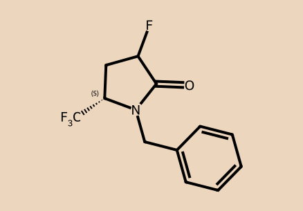 O=C1C(F)C[C@@H](C(F)(F)F)N1Cc1ccccc1